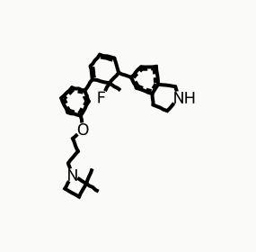 CC1(F)C(c2cccc(OCCCN3CCC3(C)C)c2)=CC=CC1c1ccc2c(c1)CCNC2